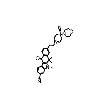 CC1(C)c2cc(CCN3CCC(C#N)(N4CCOCC4)CC3)ccc2C(=O)c2c1[nH]c1cc(C#N)ccc21